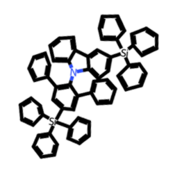 c1ccc(-c2cc([Si](c3ccccc3)(c3ccccc3)c3ccccc3)cc(-c3ccccc3)c2-n2c3ccccc3c3cc([Si](c4ccccc4)(c4ccccc4)c4ccccc4)ccc32)cc1